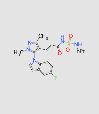 CCCNS(=O)(=O)NC(=O)/C=C/c1c(C)nn(C)c1-n1ccc2cc(F)ccc21